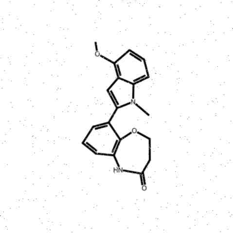 COc1cccc2c1cc(-c1cccc3c1OCCC(=O)N3)n2C